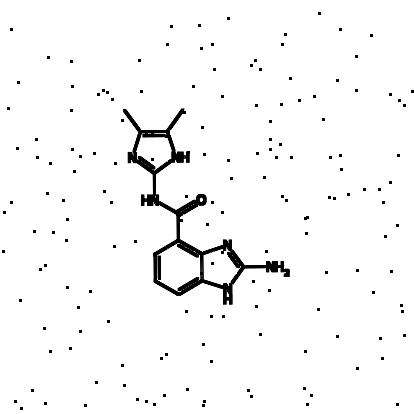 Cc1nc(NC(=O)c2cccc3[nH]c(N)nc23)[nH]c1C